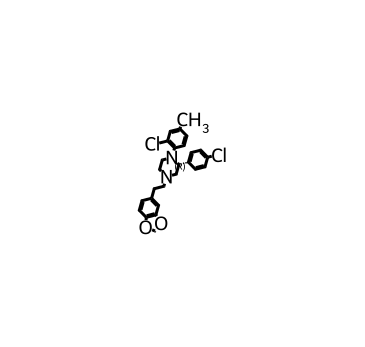 Cc1ccc(N2CCN(CCc3ccc4c(c3)OCO4)C[C@H]2c2ccc(Cl)cc2)c(Cl)c1